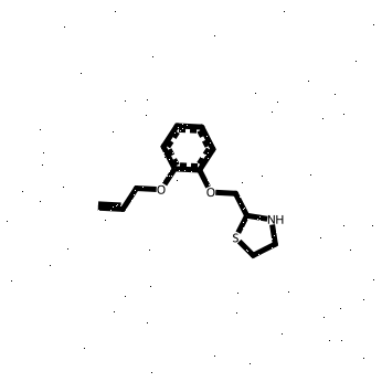 C=CCOc1ccccc1OCC1NCCS1